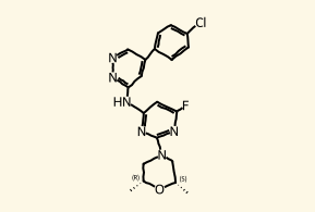 C[C@@H]1CN(c2nc(F)cc(Nc3cc(-c4ccc(Cl)cc4)cnn3)n2)C[C@H](C)O1